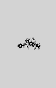 Cc1onc(OC[C@H](N)c2ccccc2)c1-c1ccn2nc(NC(=O)C3CC3)cc2c1